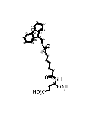 O=C(O)CC[C@H](NC(=O)CCCCCNC(=O)OCC1c2ccccc2-c2ccccc21)C(=O)O